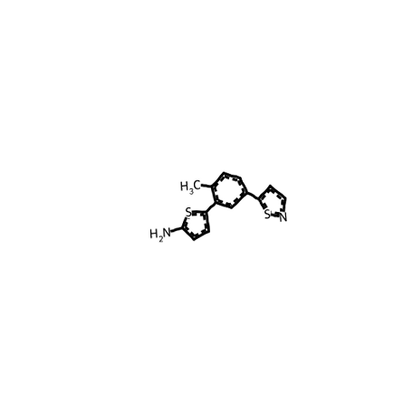 Cc1ccc(-c2ccns2)cc1-c1ccc(N)s1